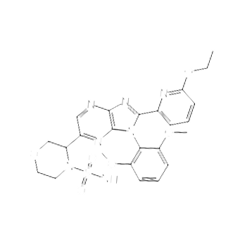 CCOc1cccc(-c2nc3ncc(C4COCCN4S(N)(=O)=O)nc3n2-c2c(OC)cccc2OC)n1